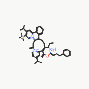 C=C1O/C(=C/CCc2ccccc2)NC(CC)C2=C1c1cc(C(C)C)cc[n+]1C(=C)CC1C(CC2)c2ccccc2-c2cc(C(C)C)c([Si](C)(C)C)c[n+]21